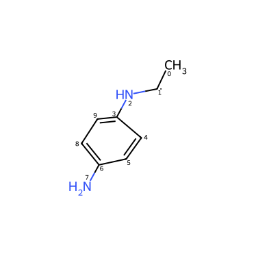 C[CH]Nc1ccc(N)cc1